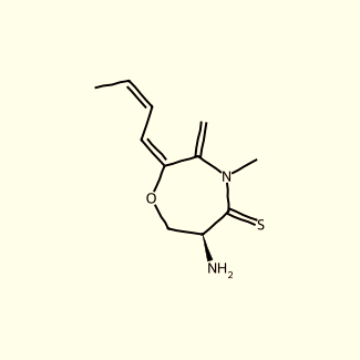 C=C1/C(=C\C=C/C)OC[C@H](N)C(=S)N1C